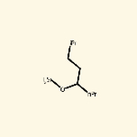 CCCC(CCC(C)C)O[SiH3]